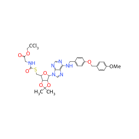 COc1ccc(COc2ccc(CNc3ncnc4c3ncn4C3OC(CSC(=O)NCC(=O)OCC(Cl)(Cl)Cl)C4OC(C)(C)OC43)cc2)cc1